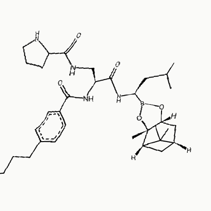 CCCCc1ccc(C(=O)N[C@@H](CNC(=O)C2CCCN2)C(=O)N[C@@H](CC(C)C)B2O[C@@H]3C[C@@H]4C[C@@H](C4(C)C)[C@]3(C)O2)cc1